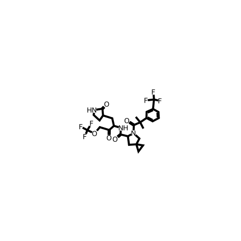 CC(C)(C(=O)N1CC2(CC2)CC1C(=O)NC(CC1CCNC1=O)C(=O)COC(F)(F)F)c1cccc(C(F)(F)F)c1